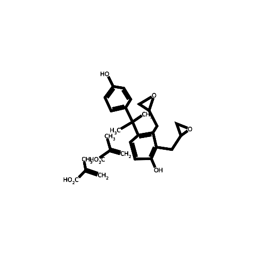 C=C(C)C(=O)O.C=C(C)C(=O)O.CC(C)(c1ccc(O)cc1)c1ccc(O)c(CC2CO2)c1CC1CO1